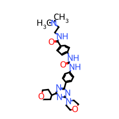 CN(C)CCNC(=O)c1ccc(NC(=O)Nc2ccc(-c3nc(C4CCOCC4)nc(N4CCOCC4)n3)cc2)cc1